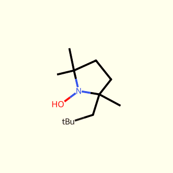 CC(C)(C)CC1(C)CCC(C)(C)N1O